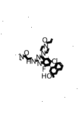 CCC(=O)N1CCN(c2nc(NCCC(=O)N(C)C)nc3c(F)c([C@H]4CC(C)(O)Cc5ccccc54)c(Cl)cc23)CC1